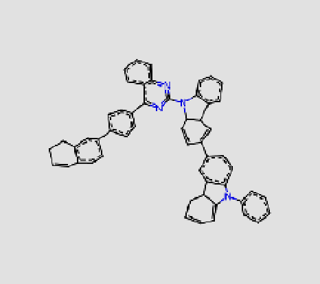 C1=CCC2C(=C1)N(c1ccccc1)c1ccc(C3=CC4c5ccccc5N(c5nc(-c6ccc(-c7ccc8c(c7)CCC=C8)cc6)c6ccccc6n5)C4C=C3)cc12